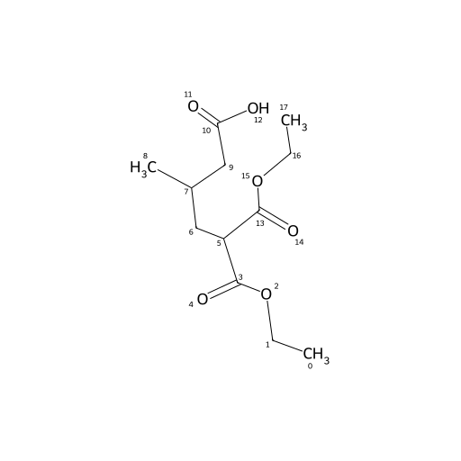 CCOC(=O)C(CC(C)CC(=O)O)C(=O)OCC